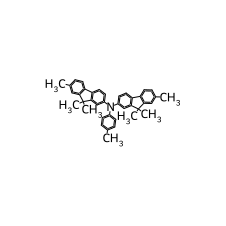 Cc1ccc(N(c2ccc3c(c2)C(C)(C)c2cc(C)ccc2-3)c2ccc3c(c2)C(C)(C)c2cc(C)ccc2-3)cc1